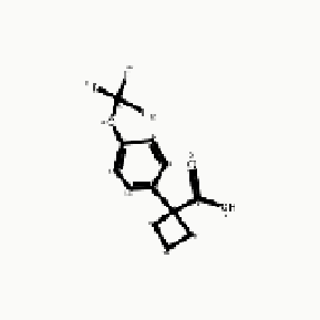 O=C(O)C1(c2ccc(OC(F)(F)F)cc2)CCC1